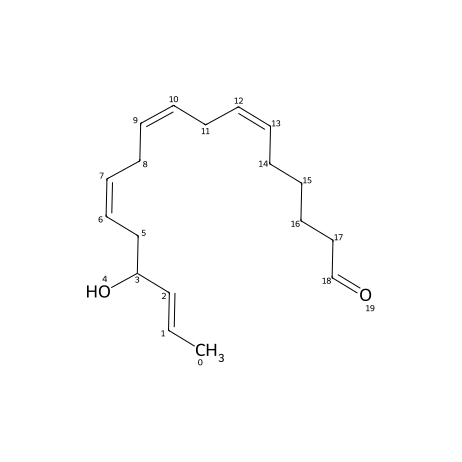 C/C=C/C(O)C/C=C\C/C=C\C/C=C\CCCCC=O